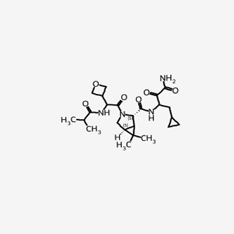 CC(C)C(=O)NC(C(=O)N1C[C@H]2C([C@H]1C(=O)NC(CC1CC1)C(=O)C(N)=O)C2(C)C)C1COC1